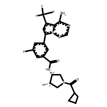 Nc1ncnn2c(-c3cc(F)cc(C(=O)N[C@@H]4CN(C(=O)C5CCC5)C[C@@H]4F)c3)cc(C(F)(F)F)c12